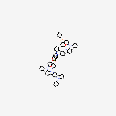 N#Cc1ccc(S(=O)(=O)c2ccc(-n3c4cc5c6ccccc6n(-c6ccccc6)c5cc4c4ccc5c6ccccc6n(-c6ccc(-c7ccc(-n8c9ccccc9c9c8ccc8c%10ccc%11c%12ccccc%12n(-c%12ccccc%12)c%11c%10n(-c%10ccc(S(=O)(=O)c%11ccc(C#N)cc%11)cc%10)c89)cc7)cc6)c5c43)cc2)cc1